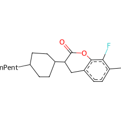 CCCCCC1CCC(C2Cc3ccc(C)c(F)c3OC2=O)CC1